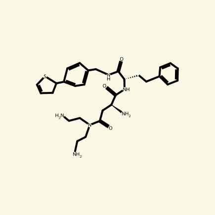 NCCN(CCN)C(=O)C[C@H](N)C(=O)N[C@@H](CCc1ccccc1)C(=O)NCc1ccc(C2CC=CS2)cc1